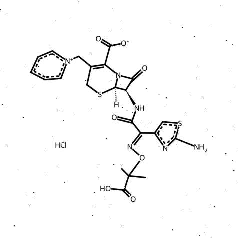 CC(C)(O/N=C(/C(=O)N[C@@H]1C(=O)N2C(C(=O)[O-])=C(C[n+]3ccccc3)CS[C@H]12)c1csc(N)n1)C(=O)O.Cl